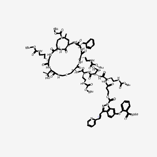 CNC(=O)c1ccccc1Sc1ccc2c(/C=C/c3ccccn3)nn(C(=O)OCCC(=O)N[C@H](CCNC(=O)OC(C)(C)C)C(=O)N[C@H](C(=O)N[C@@H](CCNC(=O)OC(C)(C)C)C(=O)N[C@@H]3CCCNC(=O)[C@@H]([C@H](C)O)NC(=O)[C@H](CCCNC(=O)OC(C)(C)C)NC(=O)[C@@H]4CCN(C(=O)OC(C)(C)C)C(C)C[C@H](NC(=O)[C@H](Cc5ccccc5)NC(=O)[C@H](CCNC(=O)OC(C)(C)C)NC3=O)C(=O)N4)[C@H](C)O)c2c1